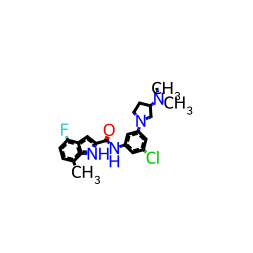 Cc1ccc(F)c2cc(C(=O)Nc3cc(Cl)cc(N4CCC(N(C)C)C4)c3)[nH]c12